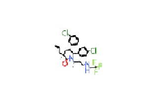 C=CC[C@@]1(C)C[C@H](c2cccc(Cl)c2)[C@@H](c2ccc(Cl)cc2)N([C@@H](C)CCNCC(F)(F)F)C1=O